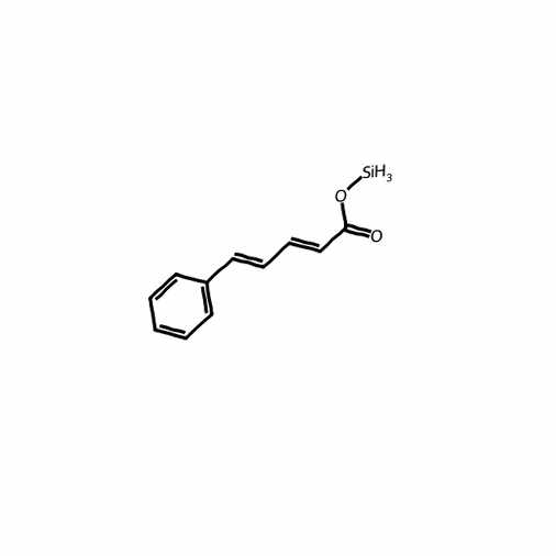 O=C(C=CC=Cc1ccccc1)O[SiH3]